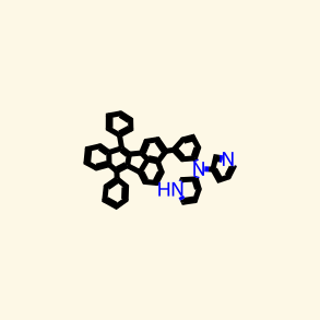 C1=CNCC(N(c2cccnc2)c2cccc(-c3ccc4c5c(cccc35)-c3c-4c(-c4ccccc4)c4ccccc4c3-c3ccccc3)c2)=C1